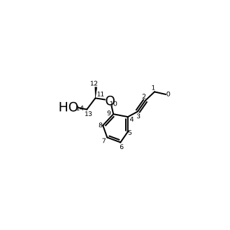 CCC#Cc1ccccc1O[C@H](C)CO